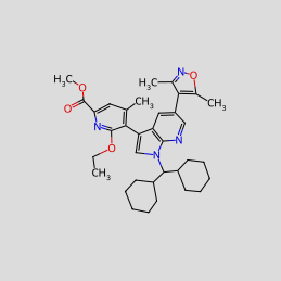 CCOc1nc(C(=O)OC)cc(C)c1-c1cn(C(C2CCCCC2)C2CCCCC2)c2ncc(-c3c(C)noc3C)cc12